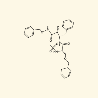 CS(=O)(=O)N[C@H](COCC1C=CC=CC1)C(=O)N[C@@H](Cc1ccccc1)C(=O)C(=O)NOCc1ccccc1